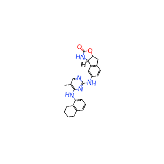 Cc1cnc(Nc2ccc3c(c2)[C@H]2NC(=O)OC2C3)nc1Nc1cccc2c1CCCC2